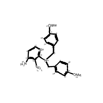 COc1ccc(CN(Cc2ccc(OC)cc2)c2nccc(N)c2[N+](=O)[O-])cc1